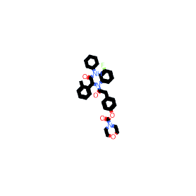 Cc1ccccc1C(C(=O)NC1CCCCC1)N(C(=O)Cc1ccc(OC(=O)N2CCOCC2)cc1)c1cccc(F)c1